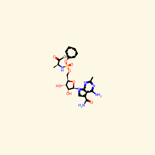 COC(=O)[C@H](C)NP(=O)(OC[C@H]1O[C@@H](n2cc(C(N)=O)c3c(N)nc(C)nc32)[C@H](O)[C@@H]1O)Oc1ccccc1